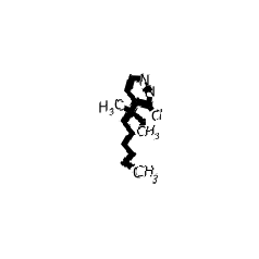 CCCCCCC(C)(CC)c1ccnnc1Cl